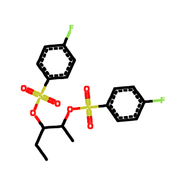 CCC(OS(=O)(=O)c1ccc(F)cc1)C(C)OS(=O)(=O)c1ccc(F)cc1